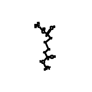 CC(C)OC(=O)CCCCC(=O)OC(C)C